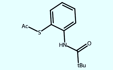 CC(=O)Sc1ccccc1NC(=O)C(C)(C)C